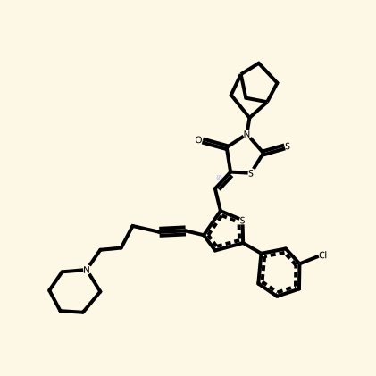 O=C1/C(=C/c2sc(-c3cccc(Cl)c3)cc2C#CCCCN2CCCCC2)SC(=S)N1C1CC2CCC1C2